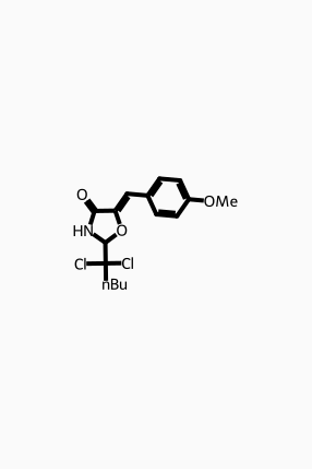 CCCCC(Cl)(Cl)C1NC(=O)/C(=C/c2ccc(OC)cc2)O1